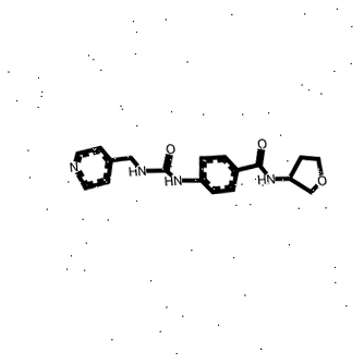 O=C(NCc1ccncc1)Nc1ccc(C(=O)NC2CCOC2)cc1